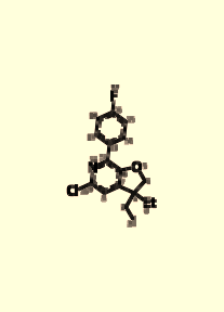 CCC1(CI)COc2c1cc(Cl)nc2-c1ccc(F)cc1